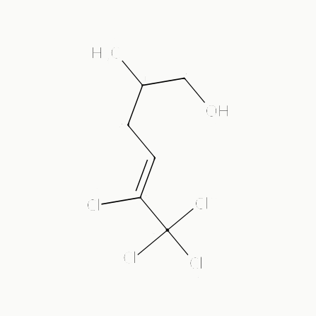 CC(CO)CC=C(Cl)C(Cl)(Cl)Cl